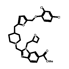 COC(=O)c1ccc2nc(CN3CCC(Cc4ccc(COc5ccc(Cl)cc5Cl)o4)CC3)n(CC3CCO3)c2c1